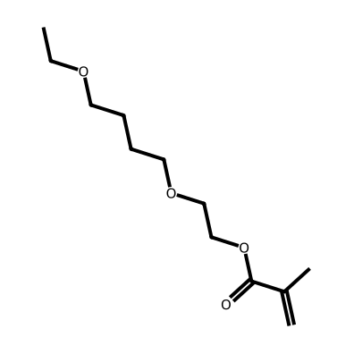 C=C(C)C(=O)OCCOCCCCOCC